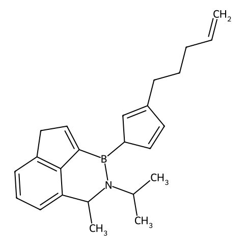 C=CCCCC1=CC(B2C3=CCc4cccc(c43)C(C)N2C(C)C)C=C1